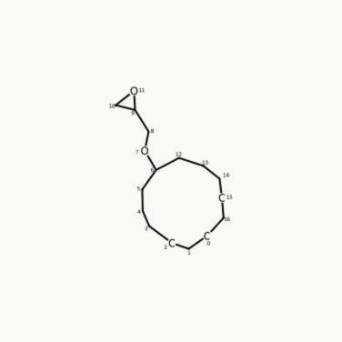 C1CCCCCC(OCC2CO2)CCCCC1